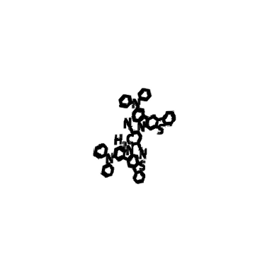 C=C(/C(C#N)=C\C(=C\C#N)n1c2c(c3cc(N(c4ccccc4)c4ccccc4)ccc31)CC1C(=C2)Sc2ccccc21)n1c2ccc(N(C3=CC=CCC3)c3ccccc3)cc2c2cc3c(cc21)sc1ccccc13